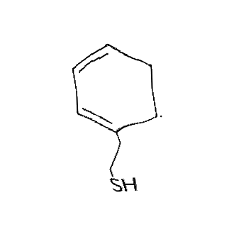 SC1=CC=CC[CH]1